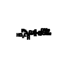 COc1ccc(-c2nc(CC(=O)N[C@@H](CC(C)C)C(=O)O)cs2)cc1OC